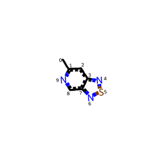 Cc1cc2nsnc2cn1